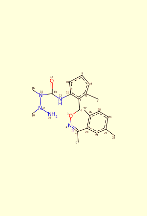 C/C(=N/OCc1c(C)cccc1NC(=O)N(C)N(C)N)c1cc(C)ccc1C